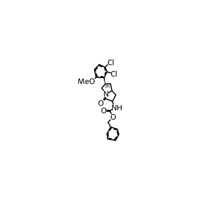 COc1ccc(Cl)c(Cl)c1[C@H]1CC2CC(NC(=O)OCc3ccccc3)C(=O)N2C1